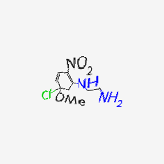 COC1(Cl)C=CC([N+](=O)[O-])=C(NCCN)C1